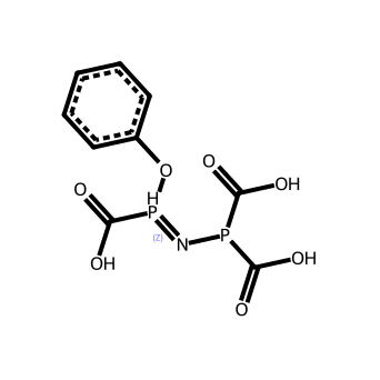 O=C(O)P(/N=[PH](\Oc1ccccc1)C(=O)O)C(=O)O